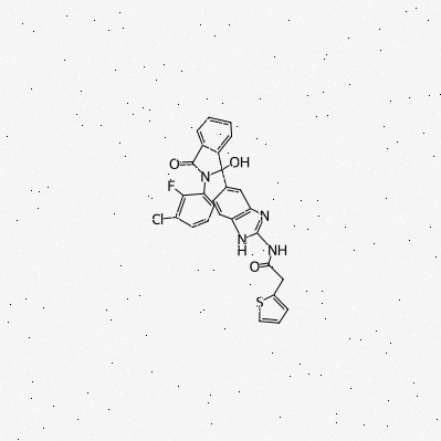 O=C(Cc1cccs1)Nc1nc2cc(C3(O)c4ccccc4C(=O)N3c3cccc(Cl)c3F)ccc2[nH]1